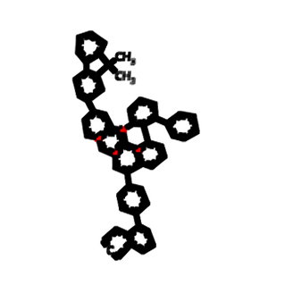 CC1(C)c2ccccc2-c2ccc(-c3cccc(N(c4ccc(-c5ccc(-c6cccc7ccccc67)cc5)cc4)c4cccc(-c5ccccc5)c4-c4ccccc4-c4ccccc4)c3)cc21